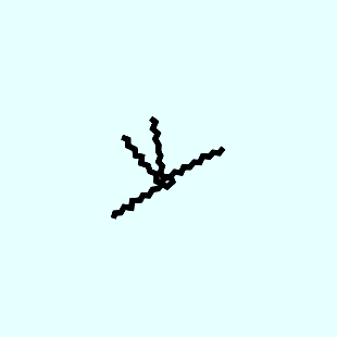 CCCCCCCCCCCC1=C(CCCCCCCCCCC)C(CCCCCCCCCCC)(CCCCCCCCCCC)CC1